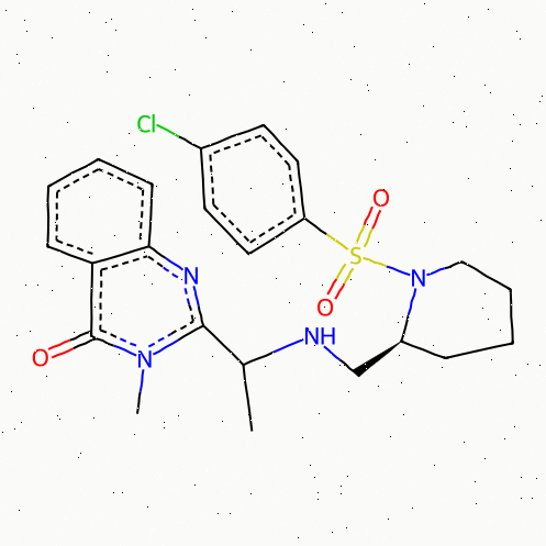 CC(NC[C@@H]1CCCCN1S(=O)(=O)c1ccc(Cl)cc1)c1nc2ccccc2c(=O)n1C